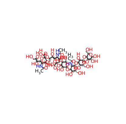 CC(=O)N[C@H]1[C@H](O[C@H]2[C@@H](O)[C@@H](CO)O[C@@H](O[C@H]3[C@H](O)[C@@H](O)[C@H](O)O[C@@H]3CO)[C@@H]2O)O[C@H](CO)[C@@H](O)[C@@H]1O[C@@H]1O[C@H](CO)[C@H](O)[C@H](O[C@]2(C(=O)O)C[C@H](O)[C@@H](NC(C)=O)[C@H]([C@H](O)[C@@H](CO)O[C@]3(C(=O)O)C[C@H](O)[C@@H](NC(C)=O)[C@H]([C@H](O)[C@H](O)CO)O3)O2)[C@H]1O